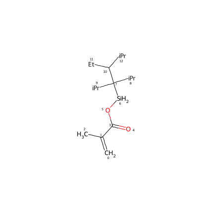 C=C(C)C(=O)O[SiH2]C(C(C)C)(C(C)C)C(CC)C(C)C